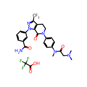 CN(C)CC(=O)N(C)c1ccc(N2CCc3c(C(F)(F)F)nn(-c4cccc(C(N)=O)c4)c3C2=O)cc1.O=C(O)C(F)(F)F